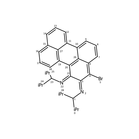 CC(C)C(N=c1c(Br)c2cccc3c4cccc5cccc(c(c1=NC(C(C)C)C(C)C)c23)c54)C(C)C